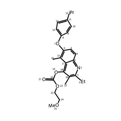 CCc1nc2ccc(Oc3ccc(C(C)C)cc3)c(C)c2c(OC(=O)OCCOC)c1C